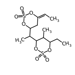 C/C=C1\CC(C(C)C2OS(=O)(=O)OC(CC)C2C)OS(=O)(=O)O1